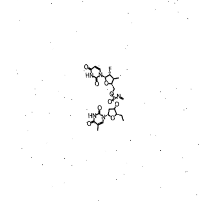 C=NP(=O)(OC[C@H]1O[C@@H](n2ccc(=O)[nH]c2=O)[C@@H](F)C1C)OC1C[C@H](n2cc(C)c(=O)[nH]c2=O)O[C@@H]1CC